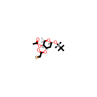 CC(=O)O[C@H]1[C@H](C)O[C@H](O[Si](C)(C)C(C)(C)C)C[C@@H]1OC(=O)C=S